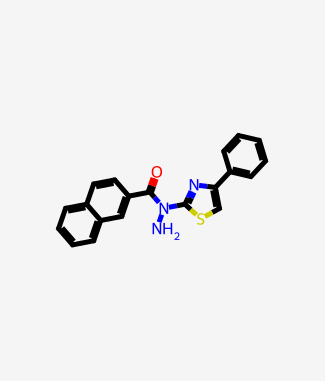 NN(C(=O)c1ccc2ccccc2c1)c1nc(-c2ccccc2)cs1